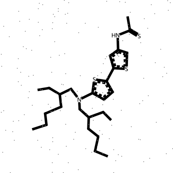 CCCCC(CC)CN(CC(CC)CCCC)c1ccc(-c2cc(NC(C)=S)cs2)s1